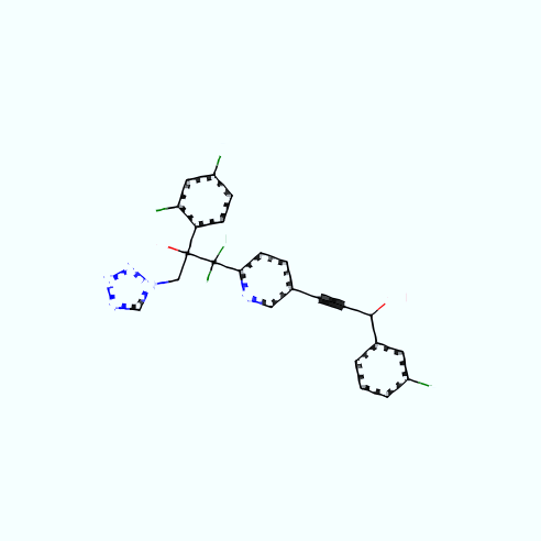 OC(C#Cc1ccc(C(F)(F)C(O)(Cn2cnnn2)c2ccc(F)cc2F)nc1)c1cccc(F)c1